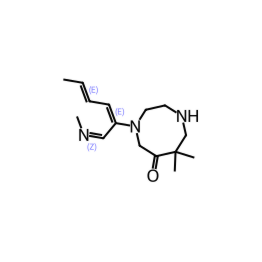 C/C=C/C=C(\C=N/C)N1CCNCC(C)(C)C(=O)C1